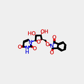 O=C1c2ccccc2C(=O)N1OC[C@H]1O[C@@H](n2ccc(=O)[nH]c2=O)[C@H](O)[C@@H]1O